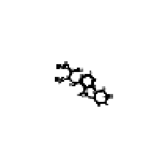 COC(=O)C(C)Oc1cccc(C2CCCNC2)c1C